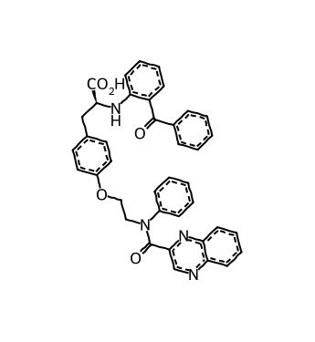 O=C(c1ccccc1)c1ccccc1N[C@@H](Cc1ccc(OCCN(C(=O)c2cnc3ccccc3n2)c2ccccc2)cc1)C(=O)O